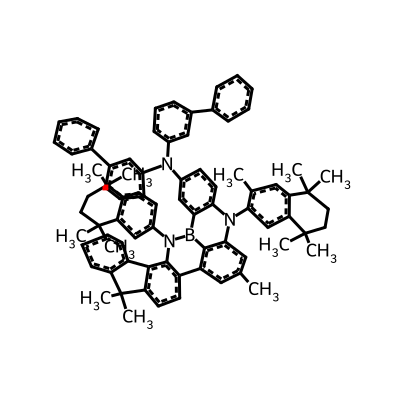 Cc1cc2c3c(c1)N(c1cc4c(cc1C)C(C)(C)CCC4(C)C)c1ccc(N(c4cccc(-c5ccccc5)c4)c4cccc(-c5ccccc5)c4)cc1B3N(c1ccc3c(c1)C(C)(C)CCC3(C)C)c1c-2ccc2c1-c1ccccc1C2(C)C